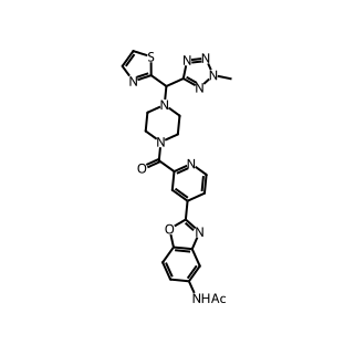 CC(=O)Nc1ccc2oc(-c3ccnc(C(=O)N4CCN(C(c5nnn(C)n5)c5nccs5)CC4)c3)nc2c1